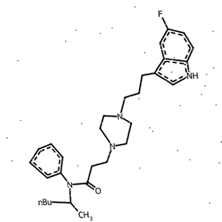 CCCCC(C)N(C(=O)CCN1CCN(CCCc2c[nH]c3ccc(F)cc23)CC1)c1ccccc1